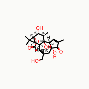 CCCCCC(=O)O[C@@]12[C@H](O)[C@@H](C)[C@@]3(O)[C@@H](C=C(CO)C[C@]4(O)C(=O)C(C)=C[C@@H]34)[C@H]1C2(C)C